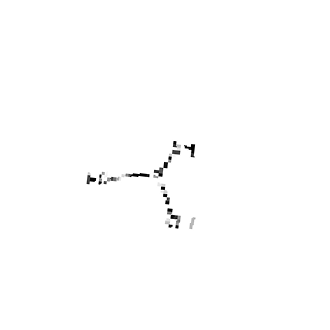 OP(O)S